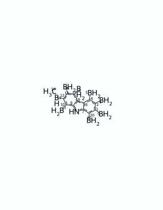 Bc1c(B)c(B)c2c([nH]c3c(B)c(BC)c(B)c(B)c32)c1B